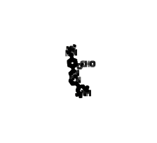 Cn1nnc(-c2ccc(-c3cn4ccc(C5=CC(C)(C)NC(C)(C)C5)nc4n3)c(OC=O)c2)n1